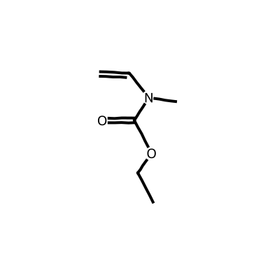 C=CN(C)C(=O)OCC